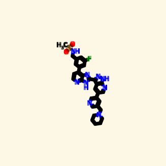 CS(=O)(=O)NCc1cc(F)cc(-c2ccnc3[nH]c(-c4n[nH]c5ncc(-c6cncc(CN7CCCCC7)c6)cc45)nc23)c1